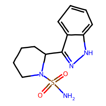 NS(=O)(=O)N1CCCCC1c1n[nH]c2ccccc12